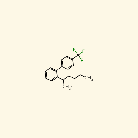 [CH2]C(CCCC)c1ccccc1-c1ccc(C(F)(F)F)cc1